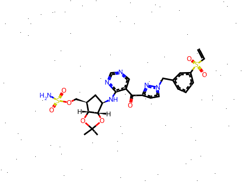 C=CS(=O)(=O)c1cccc(Cn2ccc(C(=O)c3cncnc3N[C@@H]3C[C@H](COS(N)(=O)=O)[C@H]4OC(C)(C)O[C@H]43)n2)c1